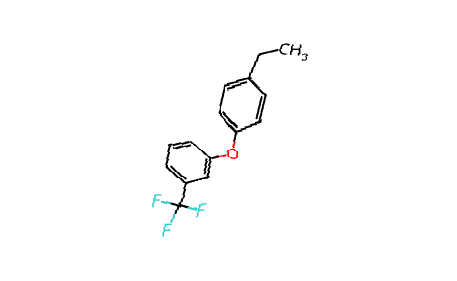 CCc1ccc(Oc2cccc(C(F)(F)F)c2)cc1